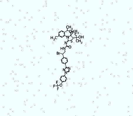 Cc1ccc(C(C)C)c(N2C(=O)C(C(C)(C)O)S/C2=N\C(=O)NCC(Br)c2ccc(-c3ncn(-c4ccc(OC(F)(F)F)cc4)n3)cc2)c1